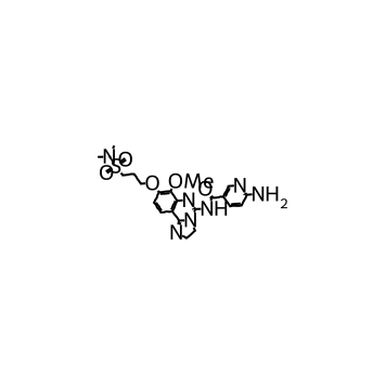 COc1c(OCCCS(=O)(=O)N(C)C)ccc2c1N=C(NC(=O)c1ccc(N)nc1)N1CCN=C21